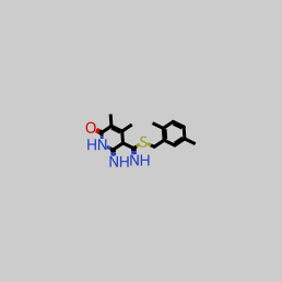 CC1=C(C)C(C(=N)SCc2cc(C)ccc2C)C(=N)NC1=O